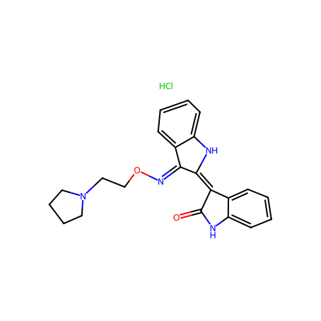 Cl.O=C1Nc2ccccc2C1=C1Nc2ccccc2C1=NOCCN1CCCC1